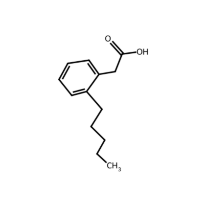 CCCCCc1ccccc1CC(=O)O